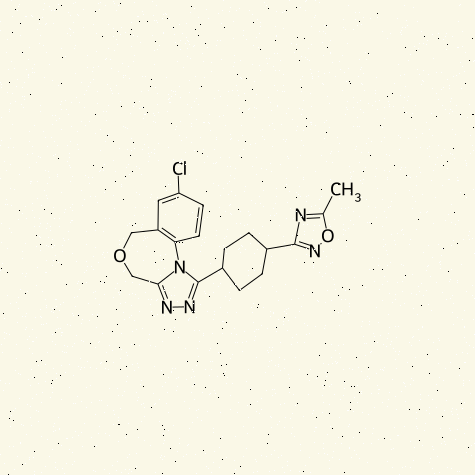 Cc1nc(C2CCC(c3nnc4n3-c3ccc(Cl)cc3COC4)CC2)no1